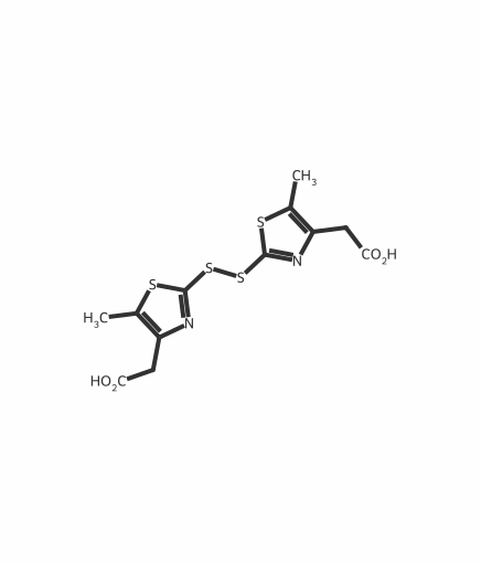 Cc1sc(SSc2nc(CC(=O)O)c(C)s2)nc1CC(=O)O